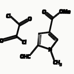 COC(=O)c1cc(C=O)n(C)c1.O=C(Cl)C(=O)Cl